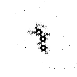 CC(=O)NCc1ccc(-c2cc(N(C)c3ccc(Cl)cc3)ccc2O)nc1N